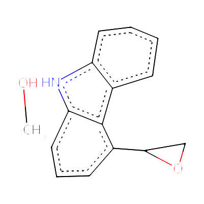 CO.c1ccc2c(c1)[nH]c1cccc(C3CO3)c12